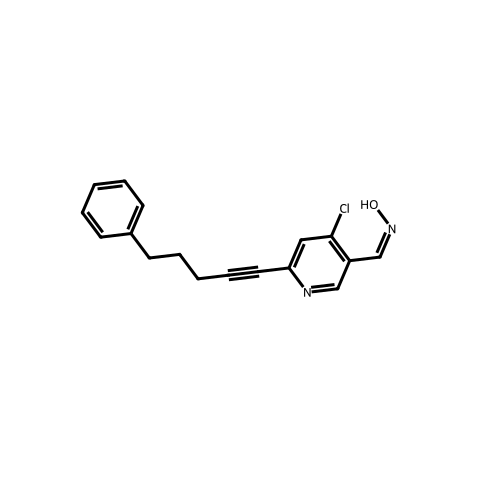 O/N=C\c1cnc(C#CCCCc2ccccc2)cc1Cl